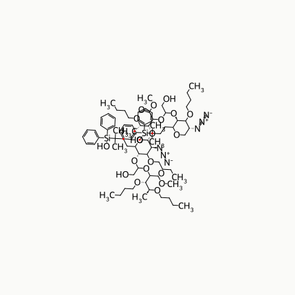 CCCCOC1[C@H](OC(CO)OC(C(=O)OC)[C@H](O[C@H]2OC(CCC(C)(C)[Si](O)(c3ccccc3)c3ccccc3)[C@@H](OC(CO)OC(C(=O)OC)[C@@H](OCCCC)[C@H](C)OCCCC)C(OCCCC)[C@@H]2N=[N+]=[N-])[C@H](C)OCCCC)C(CCC(C)(C)[Si](O)(c2ccccc2)c2ccccc2)OC[C@H]1N=[N+]=[N-]